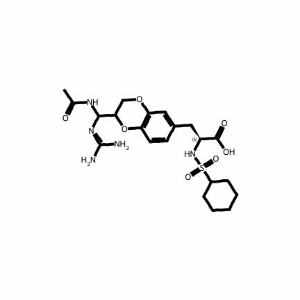 CC(=O)NC(N=C(N)N)C1COc2cc(C[C@H](NS(=O)(=O)C3CCCCC3)C(=O)O)ccc2O1